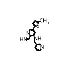 Cc1ccc(-c2cnc(C=N)c(NCc3cccnc3)c2)s1